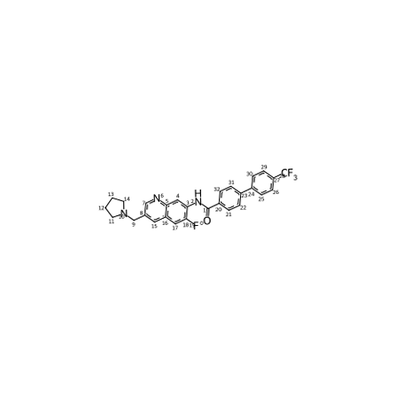 O=C(Nc1cc2ncc(CN3CCCC3)cc2cc1F)c1ccc(-c2ccc(C(F)(F)F)cc2)cc1